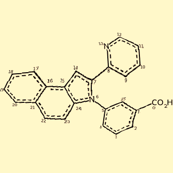 O=C(O)c1cccc(-n2c(-c3ccccn3)cc3c4ccccc4ccc32)c1